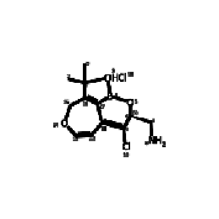 CC1(C)OB2O[C@@H](CN)C(Cl)=C3C=COCC1=C23.Cl